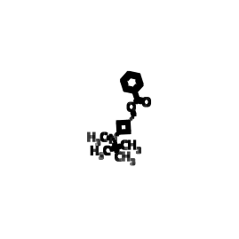 CN([C@H]1C[C@H](COC(=O)c2ccccc2)C1)C(C)(C)C